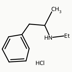 CCNC(C)Cc1ccccc1.Cl